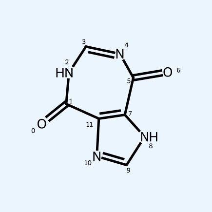 O=c1[nH]cnc(=O)c2[nH]cnc12